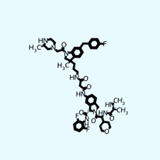 CN[C@@H](C)C(=O)NC(C(=O)N1Cc2ccc(NC(=O)CC(=O)NCCCC3(C)CN(C(=O)CN4CCN[C@H](C)C4)c4cc(Cc5ccc(F)cc5)ccc43)cc2[C@H]1C(=O)Nc1c(F)cccc1F)C1CCOCC1